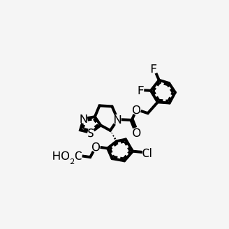 O=C(O)COc1ccc(Cl)cc1[C@@H]1c2scnc2CCN1C(=O)OCc1cccc(F)c1F